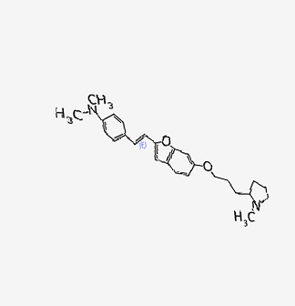 CN(C)c1ccc(/C=C/c2cc3ccc(OCCCC4CCCN4C)cc3o2)cc1